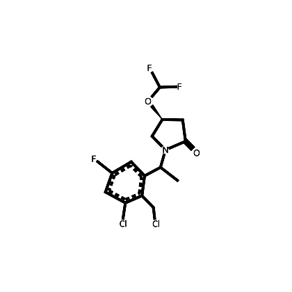 CC(c1cc(F)cc(Cl)c1CCl)N1C[C@@H](OC(F)F)CC1=O